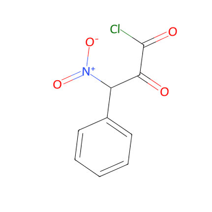 O=C(Cl)C(=O)C(c1ccccc1)[N+](=O)[O-]